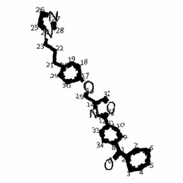 O=C(c1ccccc1)c1ccc(-c2nc(COc3ccc(CCCn4ccnc4)cc3)co2)cc1